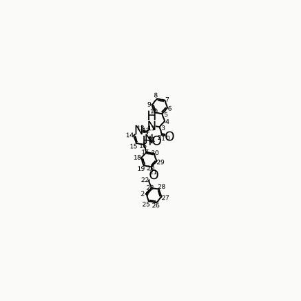 O=C(O)C(Cc1ccccc1)Nc1nccc(-c2ccc(OCc3ccccc3)cc2)n1